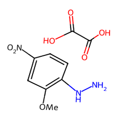 COc1cc([N+](=O)[O-])ccc1NN.O=C(O)C(=O)O